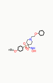 CCCCOc1ccc(S(=O)(=O)C2(C(=O)NO)CCN(CCOc3ccccc3)CC2)cc1